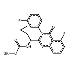 CC(C)(C)OC(=O)N[C@H](c1nc2cccc(F)c2c(=O)n1-c1cccc(F)c1)C1CC1